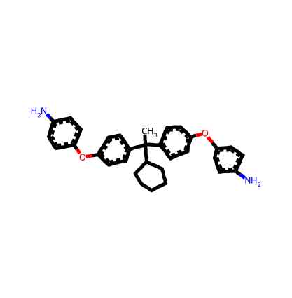 CC(c1ccc(Oc2ccc(N)cc2)cc1)(c1ccc(Oc2ccc(N)cc2)cc1)C1CCCCC1